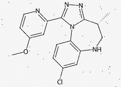 COc1ccnc(-c2nnc3n2-c2ccc(Cl)cc2NC[C@H]3C)c1